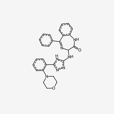 O=C1Nc2ccccc2C(c2ccccc2)=NC1Nc1nnc(-c2ccccc2N2CCOCC2)[nH]1